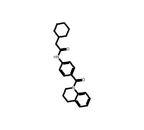 O=C(CC1CCCCC1)Nc1ccc(C(=O)N2CCCc3ccccc32)cc1